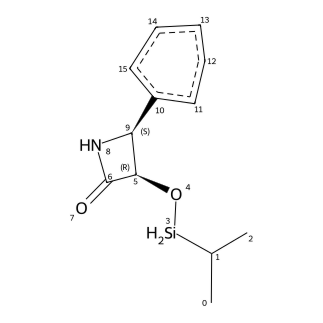 CC(C)[SiH2]O[C@H]1C(=O)N[C@H]1c1ccccc1